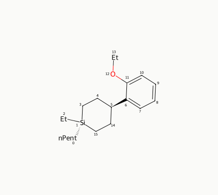 CCCCC[Si@]1(CC)CC[C@@H](c2ccccc2OCC)CC1